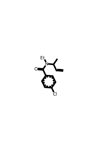 C=CC(C)N(CC)C(=O)c1ccc(Cl)cc1